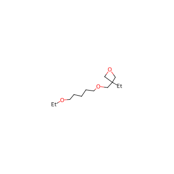 CCOCCCCCOCC1(CC)COC1